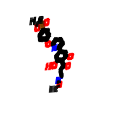 CCON=CCC(=O)C1=C(O)CC(c2cccc(Oc3ccc(S(C)(=O)=O)cc3)n2)CC1=O